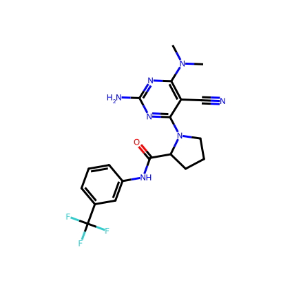 CN(C)c1nc(N)nc(N2CCCC2C(=O)Nc2cccc(C(F)(F)F)c2)c1C#N